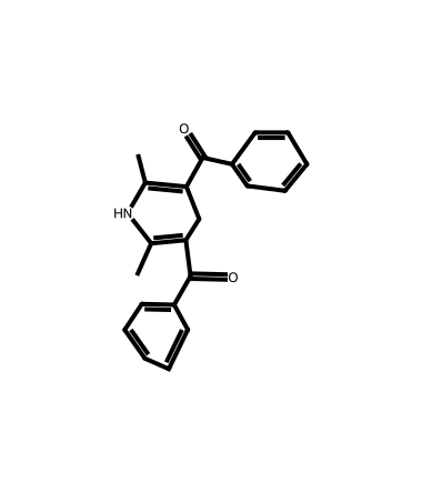 CC1=C(C(=O)c2ccccc2)CC(C(=O)c2ccccc2)=C(C)N1